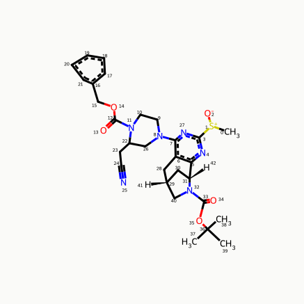 C[S+]([O-])c1nc2c(c(N3CCN(C(=O)OCc4ccccc4)C(CC#N)C3)n1)C[C@@H]1C[C@H]2N(C(=O)OC(C)(C)C)C1